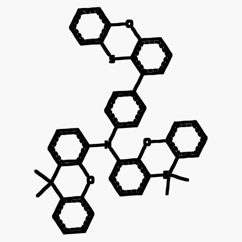 CC1(C)c2ccccc2Oc2c(N(c3ccc(-c4cccc5c4Sc4ccccc4O5)cc3)c3cccc4c3Oc3ccccc3[Si]4(C)C)cccc21